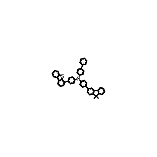 CC1(C)c2ccccc2-c2cc(-c3ccc(N(c4ccc(-c5ccccc5)cc4)c4ccc(-c5cccc6c5sc5ccccc56)cc4)cc3)ccc21